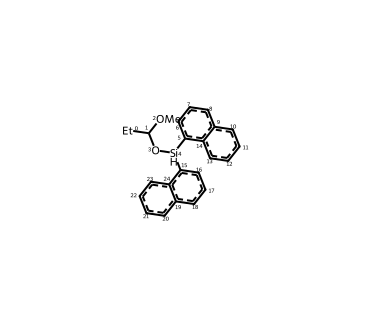 CCC(OC)O[SiH](c1cccc2ccccc12)c1cccc2ccccc12